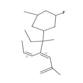 C=C(C)/C=C(\C=C/C)C(C)(CC)C1CC(C)CC(F)C1